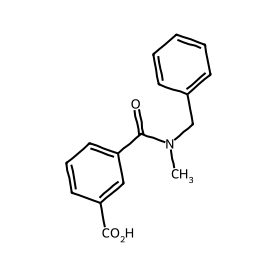 CN(Cc1ccccc1)C(=O)c1cccc(C(=O)O)c1